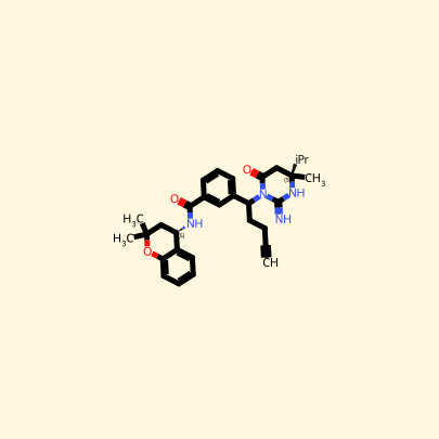 C#CCCC(c1cccc(C(=O)N[C@H]2CC(C)(C)Oc3ccccc32)c1)N1C(=N)N[C@](C)(C(C)C)CC1=O